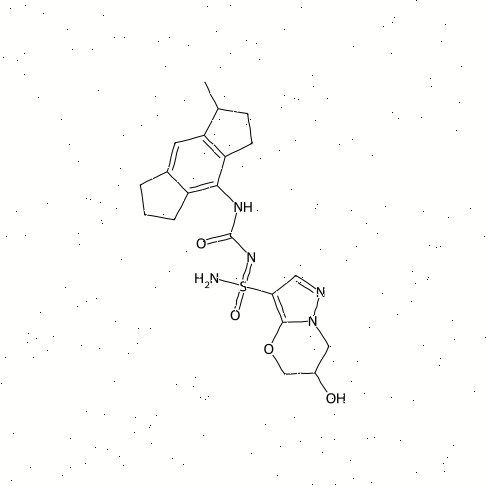 CC1CCc2c1cc1c(c2NC(=O)N=S(N)(=O)c2cnn3c2OCC(O)C3)CCC1